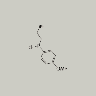 COc1ccc(P(Cl)CCC(C)C)cc1